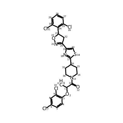 CC(Oc1ccc(Cl)cc1Cl)C(=O)N1CCC(c2nc(C3=NOC(c4c(Cl)cccc4Cl)C3)cs2)CC1